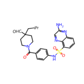 CC(C)CC1(C=O)CCN(C(=O)c2ccc(NS(=O)(=O)c3cccc4nc(N)cnc34)cc2)CC1